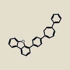 C1=CC(c2ccccc2)=CCC(c2ccc(-c3cccc4c3oc3ccccc34)cc2)=C1